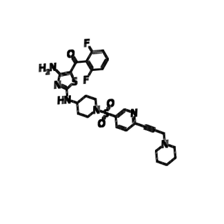 Nc1nc(NC2CCN(S(=O)(=O)c3ccc(C#CCN4CCCCC4)nc3)CC2)sc1C(=O)c1c(F)cccc1F